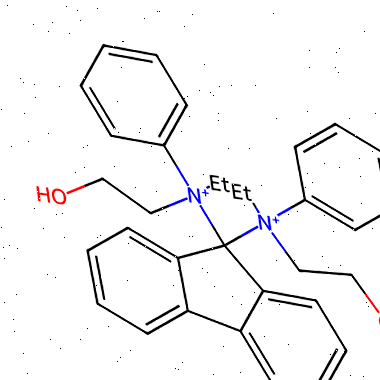 CC[N+](CCO)(c1ccccc1)C1([N+](CC)(CCO)c2ccccc2)c2ccccc2-c2ccccc21